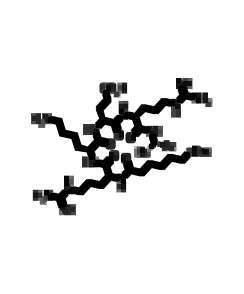 CCCCCCCCCCCCCCCC(=O)NC(CCCNC(=N)N)C(=O)N[C@@H](CCCCN)C(=O)N[C@@H](CCC(=O)O)C(=O)N[C@@H](CCCNC(=N)N)C(=O)N[C@H](C(C)=O)[C@@H](C)CC